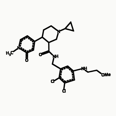 COCCNc1cc(Cl)c(Cl)c(CNC(=O)C2CN(C3CC3)CCC2c2ccn(C)c(=O)c2)c1